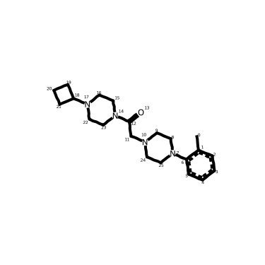 Cc1ccccc1N1CCN(CC(=O)N2CCN(C3CCC3)CC2)CC1